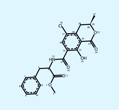 COC(=O)C(Cc1ccccc1)NC(=O)c1cc(Cl)c2c(c1O)C(=O)O[C@H](C)C2